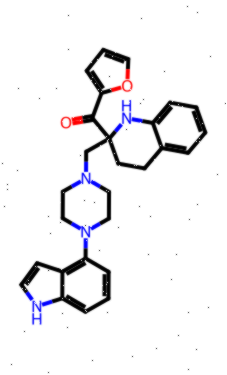 O=C(c1ccco1)C1(CN2CCN(c3cccc4[nH]ccc34)CC2)CCc2ccccc2N1